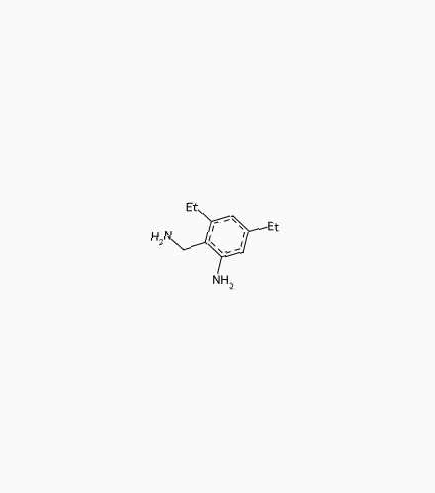 CCc1cc(N)c(CN)c(CC)c1